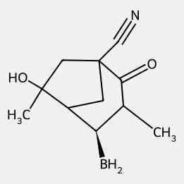 B[C@@H]1C(C)C(=O)C2(C#N)CC1C(C)(O)C2